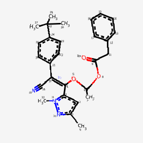 Cc1cc(/C(OC(C)OC(=O)Cc2ccccc2)=C(\C#N)c2ccc(C(C)(C)C)cc2)n(C)n1